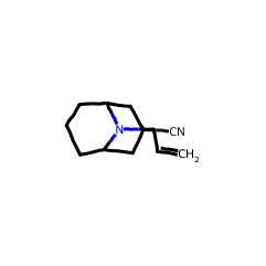 C=CCN1C2CCCC1CC(C#N)C2